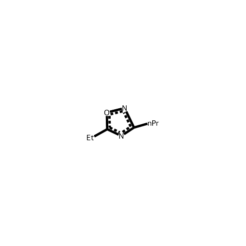 CCCc1noc(CC)n1